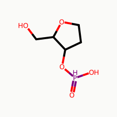 O=[PH](O)OC1CCOC1CO